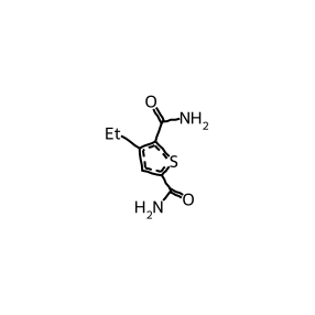 CCc1cc(C(N)=O)sc1C(N)=O